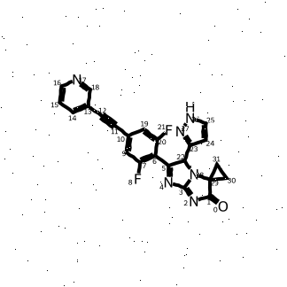 O=C1N=C2N=C(c3c(F)cc(C#Cc4cccnc4)cc3F)C(c3cc[nH]n3)N2C12CC2